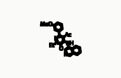 CCn1nc(-c2cccc(OC)c2)c(C(C)=O)c(Nc2cncc3ccccc23)c1=O